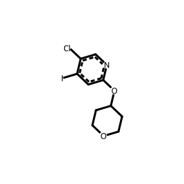 Clc1cnc(OC2CCOCC2)cc1I